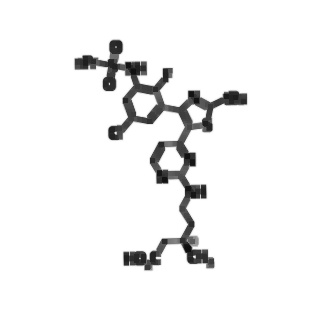 CCCS(=O)(=O)Nc1cc(Cl)cc(-c2nc(C(C)(C)C)sc2-c2ccnc(NCC[C@@H](C)CC(=O)O)n2)c1F